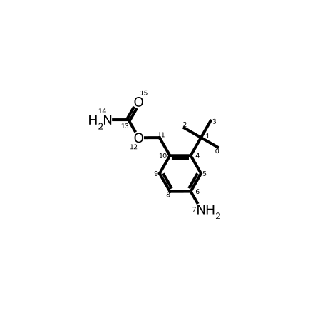 CC(C)(C)c1cc(N)ccc1COC(N)=O